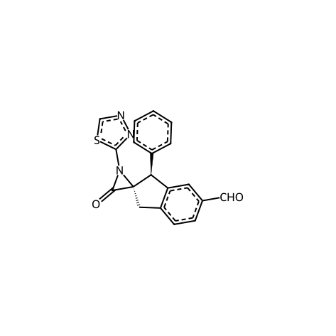 O=Cc1ccc2c(c1)[C@H](c1ccccc1)[C@@]1(C2)C(=O)N1c1nncs1